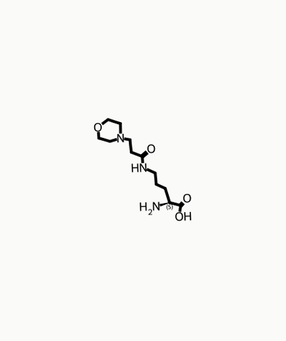 N[C@@H](CCCNC(=O)CCN1CCOCC1)C(=O)O